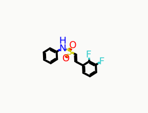 O=S(=O)(/C=C/c1cccc(F)c1F)Nc1ccccc1